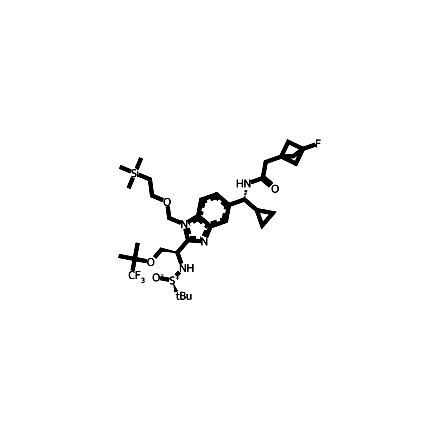 CC(C)(C)[S@@+]([O-])N[C@@H](COC(C)(C)C(F)(F)F)c1nc2cc([C@H](NC(=O)CC34CC(F)(C3)C4)C3CC3)ccc2n1COCC[Si](C)(C)C